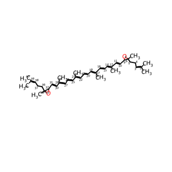 CC(C)=CCCC1(C)OC1/C=C/C(C)=C/C=C/C(C)=C/C=C/C=C(C)/C=C/C=C(C)/C=C/C1OC1(C)CCC=C(C)C